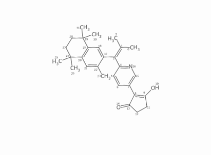 CC(C)=C(c1ccc(C2=C(O)CCC2=O)cn1)c1cc2c(cc1C)C(C)(C)CCC2(C)C